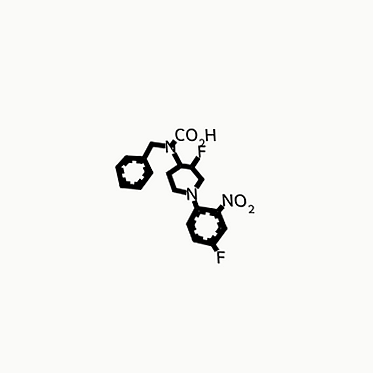 O=C(O)N(Cc1ccccc1)C1CCN(c2ccc(F)cc2[N+](=O)[O-])CC1F